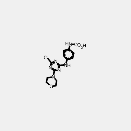 O=C(O)Nc1ccc(Nc2nc(Cl)nc(N3CCOCC3)n2)cc1